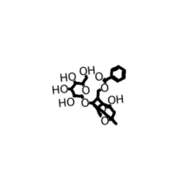 CC12CC3(O)OC(O1)C1C3C(COC(=O)c3ccccc3)C12OC1OC(CO)C(O)C(O)C1O